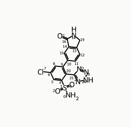 NS(=O)(=O)c1cc(Cl)cc(-c2ccc3c(c2)C(=O)NC3)c1-c1nn[nH]n1